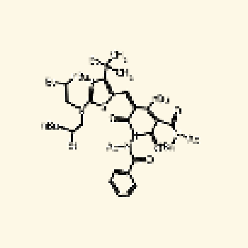 CCCCC1=C(C(=O)N(C(C)=O)C(C)(C)C)C(=O)N(N(C(C)=O)C(=O)c2ccccc2)C(=O)/C1=C\c1sc(N(CC(CC)CCCC)CC(CC)CCCC)nc1C(C)(C)CC